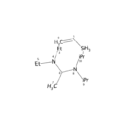 C=C[SiH3].CCN(CC)C(C)N(C(C)C)C(C)C